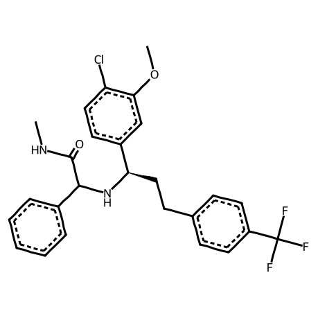 CNC(=O)C(N[C@H](CCc1ccc(C(F)(F)F)cc1)c1ccc(Cl)c(OC)c1)c1ccccc1